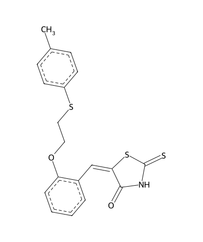 Cc1ccc(SCCOc2ccccc2C=C2SC(=S)NC2=O)cc1